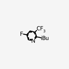 CCC(C)c1ncc(F)cc1C(F)(F)F